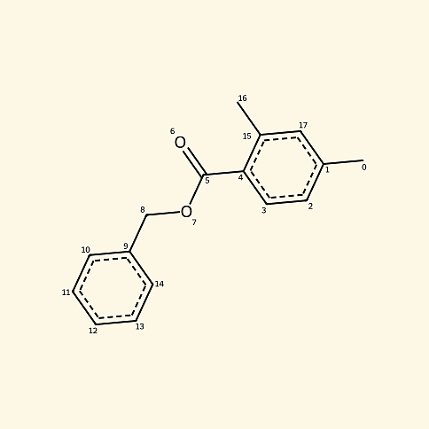 Cc1ccc(C(=O)OCc2ccccc2)c(C)c1